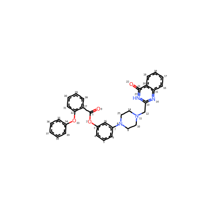 O=C(Oc1cccc(N2CCN(Cc3nc4ccccc4c(=O)[nH]3)CC2)c1)c1ccccc1Oc1ccccc1